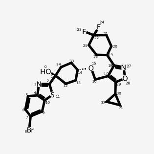 O[C@]1(c2nc3ccc(Br)cc3s2)CC[C@@H](OCc2c(C3CCC(F)(F)CC3)noc2C2CC2)CC1